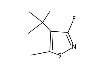 Cc1snc(F)c1C(C)(C)C